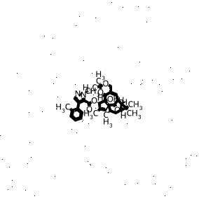 CC1=C[C@]23C(=O)[C@@H](C=C4COC(C)(C)O[C@H]4C2(O)[C@H]1OC(=O)c1c(-c2ccccc2C)cnn1C)[C@H]1[C@@H](C[C@H]3C)C1(C)C